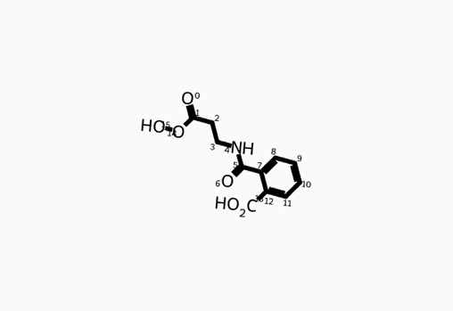 O=C(CCNC(=O)c1ccccc1C(=O)O)OO